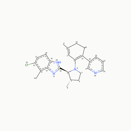 CC1=CC(N2CC[C@H](C)[C@H]2c2nc3c(C)c(Cl)ccc3[nH]2)=C(c2cccnc2)[CH]C1